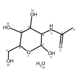 CC(=O)NC1C(O)OC(CO)C(O)C1O.O